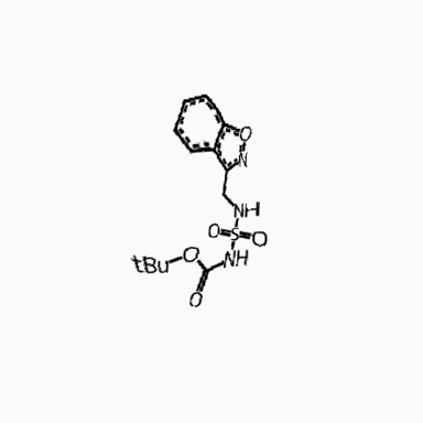 CC(C)(C)OC(=O)NS(=O)(=O)NCc1noc2ccccc12